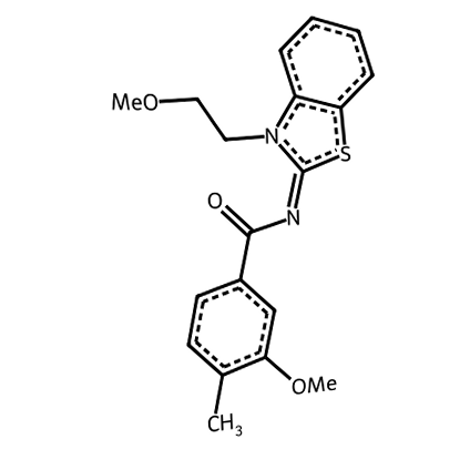 COCCn1c(=NC(=O)c2ccc(C)c(OC)c2)sc2ccccc21